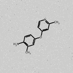 Cc1cc(Oc2ccc(N)c(C)c2)ccn1